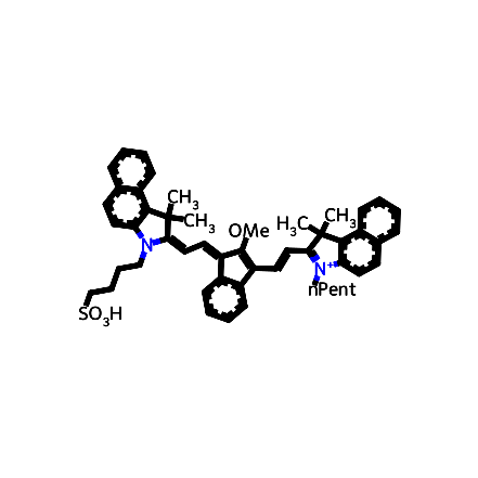 CCCCC[N+]1=C(/C=C/C2=C(OC)C(=C/C=C3/N(CCCCS(=O)(=O)O)c4ccc5ccccc5c4C3(C)C)/c3ccccc32)C(C)(C)c2c1ccc1ccccc21